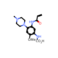 C=CC(=O)Nc1cc(NC(=O)O)c(OC)cc1N1CCN(C)CC1